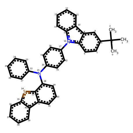 CC(C)(C)c1ccc2c(c1)c1ccccc1n2-c1ccc(N(c2ccccc2)c2cccc3c2sc2ccccc23)cc1